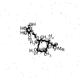 CCC1=C(C)c2cc3[nH]c(cc4nc(c(C)c5cc(C)c(cc1n2)[nH]5)[C@@H](CCC(=O)OC)[C@@H]4C)c(C)c3C(C)OCCCS[C@@H]1O[C@H](CO)[C@@H](O)[C@H](O)[C@H]1O